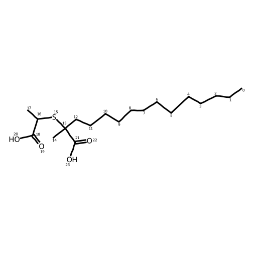 CCCCCCCCCCCCCC(C)(SC(C)C(=O)O)C(=O)O